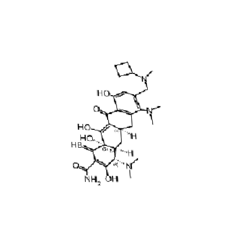 B=C1C(C(N)=O)=C(O)[C@@H](N(C)C)[C@@H]2C[C@@H]3Cc4c(c(O)cc(CN(C)C5CCC5)c4N(C)C)C(=O)C3=C(O)[C@]12O